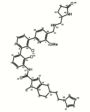 COc1nc(-c2ccnc(-c3cccc(NC(=O)c4nc5c(n4C)CCN(CCn4cncn4)C5)c3Cl)c2Cl)ccc1CNCC1CCC(=O)N1